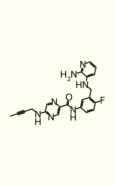 CC#CCNc1cnc(C(=O)Nc2ccc(F)c(CNc3cccnc3N)c2)cn1